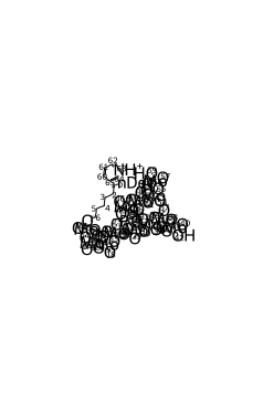 CCCCCCCCCCCCCCCC[O][Mo](=[O])(=[O])[O][Mo](=[O])(=[O])[O][Mo](=[O])(=[O])[O][Mo](=[O])(=[O])[O]P(=O)([O][Mo](=[O])(=[O])[O][Mo](=[O])(=[O])[O][Mo](=[O])(=[O])[O][Mo](=[O])(=[O])[OH])[O][Mo](=[O])(=[O])[O][Mo](=[O])(=[O])[O][Mo](=[O])(=[O])[O][Mo](=[O])(=[O])[OH].c1cc[nH+]cc1